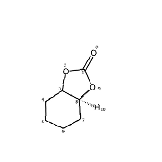 O=C1OC2CCCC[C@@H]2O1